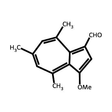 COc1cc(C=O)c2c(C)cc(C)cc(C)c1-2